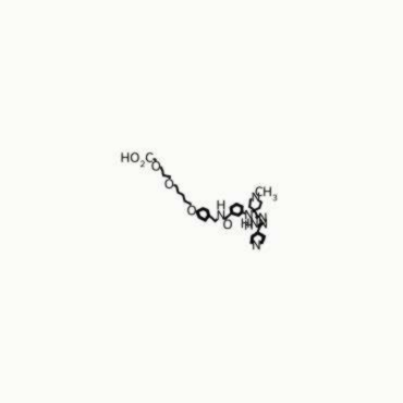 CN1CCC(Nc2cccc(C(=O)NCc3ccc(OCCCCCOCCCOCC(=O)O)cc3)c2)(c2nnc(-c3ccncc3)[nH]2)CC1